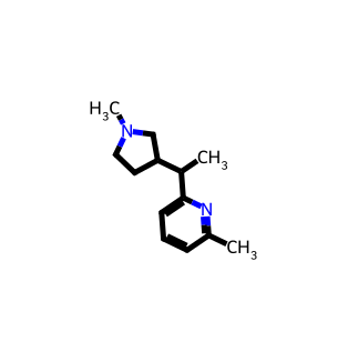 Cc1cccc(C(C)C2CCN(C)C2)n1